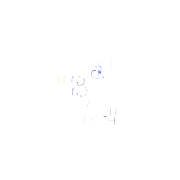 Cn1cc(-c2cn(S)c3ncc(C4=CCC(C(C)(C)C)CC4)cc23)cn1